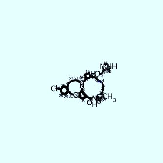 C[C@@H]1CC/C=C/[C@H](OCc2nc[nH]n2)[C@@H]2CC[C@H]2CN2CCCCc3cc(Cl)ccc3COc3ccc(cc32)C(=O)NS1(=O)=O